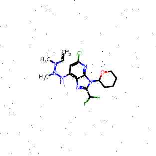 C=CN(C)N(C)Nc1cc(Cl)nc2c1nc(C(F)F)n2C1CCCCO1